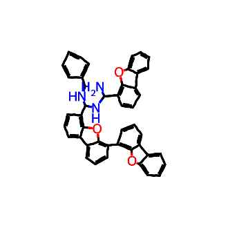 NC(NC(NCc1ccccc1)c1cccc2c1oc1c(-c3cccc4c3oc3ccccc34)cccc12)c1cccc2c1oc1ccccc12